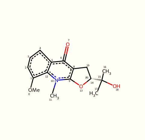 COc1cccc2c(=O)c3c(n(C)c12)O[C@@H](C(C)(C)O)C3